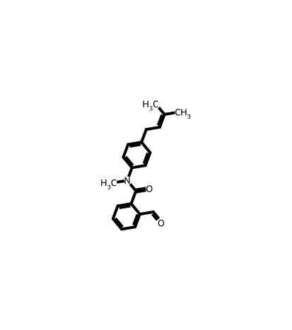 CC(C)=CCc1ccc(N(C)C(=O)c2ccccc2C=O)cc1